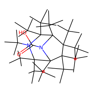 CC(C)(C)N1C(C(C)(C)C)(C(C)(C)C)C2(C(C)(C)C)N(C(=O)O)C(C(C)(C)C)(C1(C(C)(C)C)C(C)(C)C)C(C(C)(C)C)(C(C)(C)C)C2(C(C)(C)C)C(C)(C)C